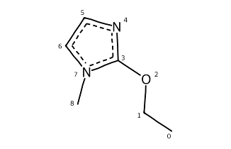 CCOc1nccn1C